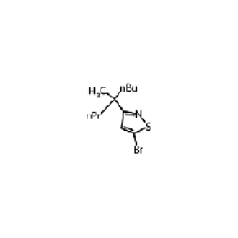 CCCCC(C)(CCC)c1cc(Br)sn1